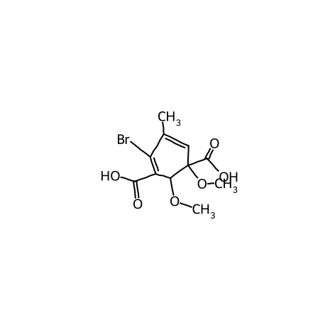 COC1C(C(=O)O)=C(Br)C(C)=CC1(OC)C(=O)O